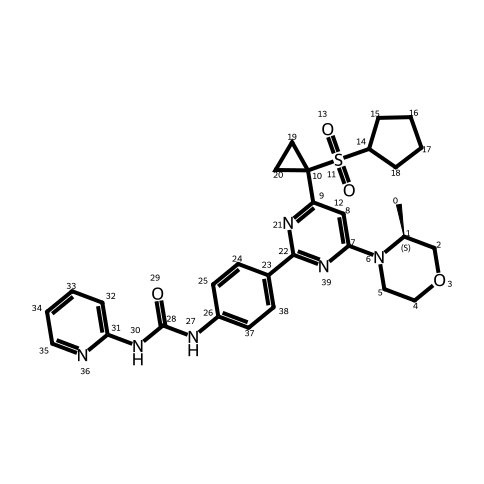 C[C@H]1COCCN1c1cc(C2(S(=O)(=O)C3CCCC3)CC2)nc(-c2ccc(NC(=O)Nc3ccccn3)cc2)n1